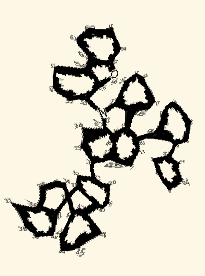 c1ccc(-c2ccccc2-c2ccccc2-c2ccccc2N(c2ccc(-c3ccc4c(c3)C3(CCc5ccccc53)c3ccccc3-4)cc2)c2cccc3c2oc2ccccc23)cc1